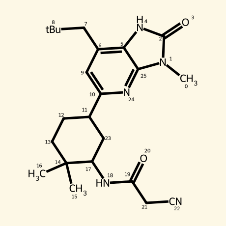 Cn1c(=O)[nH]c2c(CC(C)(C)C)cc(C3CCC(C)(C)C(NC(=O)CC#N)C3)nc21